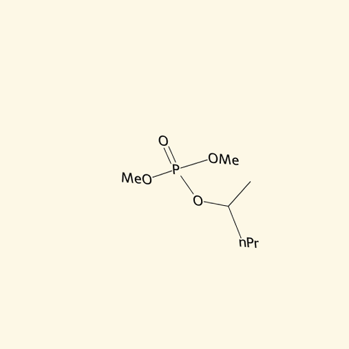 CCCC(C)OP(=O)(OC)OC